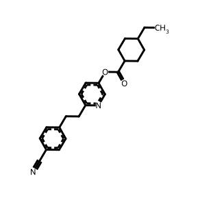 CCC1CCC(C(=O)Oc2ccc(CCc3ccc(C#N)cc3)nc2)CC1